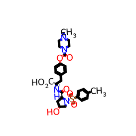 Cc1ccc(S(=O)(=O)N2CC(O)C[C@H]2C(=O)N[C@@H](Cc2ccc(OC(=O)N3CCN(C)CC3)cc2)C(=O)O)cc1